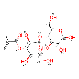 C=C(C)C(=O)O[C@@H]1[C@@H](O)[C@@H](O[C@H]2[C@H](O)[C@@H](O)[C@H](O)O[C@@H]2CO)O[C@H](CO)[C@H]1O